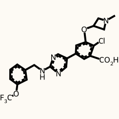 CN1CC(Oc2cc(-c3cnc(NCc4cccc(OC(F)(F)F)c4)nc3)cc(C(=O)O)c2Cl)C1